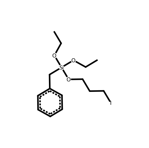 CCO[Si](Cc1ccccc1)(OCC)OCCCI